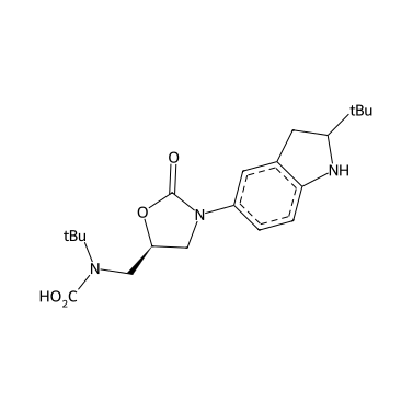 CC(C)(C)C1Cc2cc(N3C[C@@H](CN(C(=O)O)C(C)(C)C)OC3=O)ccc2N1